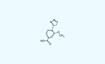 COc1cc(C(=O)O)ccc1C1=NN=CC1